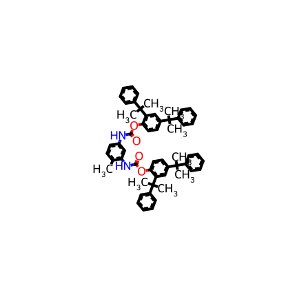 Cc1ccc(NC(=O)Oc2ccc(C(C)(C)c3ccccc3)cc2C(C)(C)c2ccccc2)cc1NC(=O)Oc1ccc(C(C)(C)c2ccccc2)cc1C(C)(C)c1ccccc1